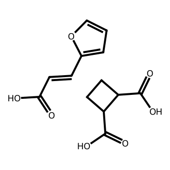 O=C(O)C1CCC1C(=O)O.O=C(O)C=Cc1ccco1